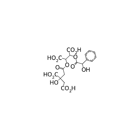 O=C(O)CC(O)(CC(=O)OC(C(=O)O)C(OC(=O)C(O)c1ccccc1)C(=O)O)C(=O)O